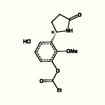 CCC(=O)Oc1cccc([C@@H]2CCC(=O)N2)c1OC.Cl